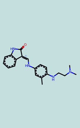 Cc1cc(N/C=C2/C(=O)Nc3ccccc32)ccc1NCCN(C)C